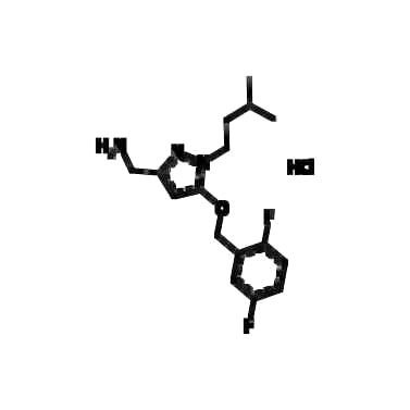 CC(C)CCn1nc(CN)cc1OCc1cc(F)ccc1F.Cl